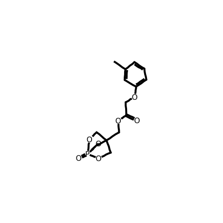 Cc1cccc(OCC(=O)OCC23COP(=O)(OC2)OC3)c1